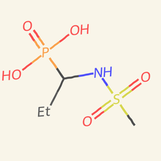 CCC(NS(C)(=O)=O)P(=O)(O)O